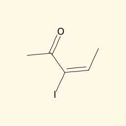 C/C=C(/I)C(C)=O